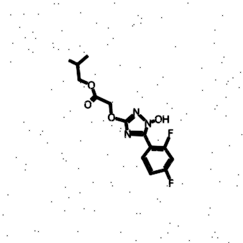 CC(C)COC(=O)COc1nc(-c2ccc(F)cc2F)n(O)n1